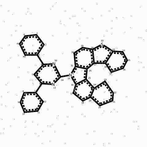 c1ccc(-c2cc(-c3ccccc3)nc(-n3c4ccc5ccccc5c4c4c5c(ccc43)sc3ccccc35)n2)cc1